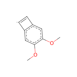 COc1cc2c(cc1OC)C=[C]2